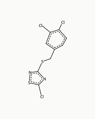 Clc1nc(SCc2ccc(Cl)c(Cl)c2)ns1